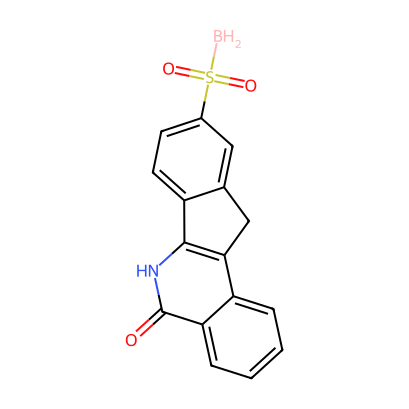 BS(=O)(=O)c1ccc2c(c1)Cc1c-2[nH]c(=O)c2ccccc12